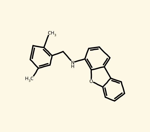 Cc1ccc(C)c(CNc2cccc3c2oc2ccccc23)c1